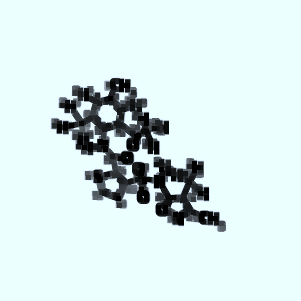 [2H]c1c(C)c([2H])c(C([2H])([2H])[2H])c(N([2H])C(=O)c2sccc2S(=O)(=O)N([2H])c2onc(C)c2C([2H])([2H])[2H])c1C(=O)C([2H])([2H])[2H]